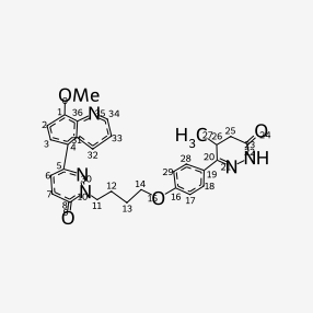 COc1ccc(-c2ccc(=O)n(CCCCOc3ccc(C4=NNC(=O)CC4C)cc3)n2)c2cccnc12